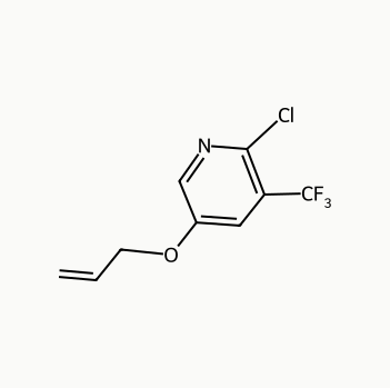 C=CCOc1cnc(Cl)c(C(F)(F)F)c1